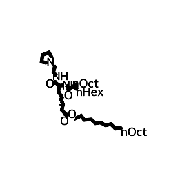 CCCCCCCCC=CCCCCCCCCOC(=O)CCSCCC(NC(=O)C(CCCCCC)CCCCCCCC)C(=O)NCCN1CCCCC1